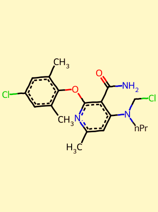 CCCN(CCl)c1cc(C)nc(Oc2c(C)cc(Cl)cc2C)c1C(N)=O